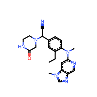 CCc1cc(C(C#N)N2CCNC(=O)C2)ccc1N(C)c1cc2c(cn1)ncn2C